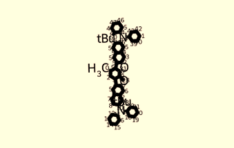 Cc1cc2c3cc4ccc(N(c5ccccc5)c5ccccc5C(C)(C)C)cc4cc3oc2c2oc3cc4cc(N(c5ccccc5)c5ccccc5C(C)(C)C)ccc4cc3c12